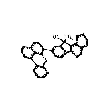 CC1(C)c2cc(-c3ccc4cccc5c4c3Sc3ccccc3-5)ccc2-c2ccc3ccccc3c21